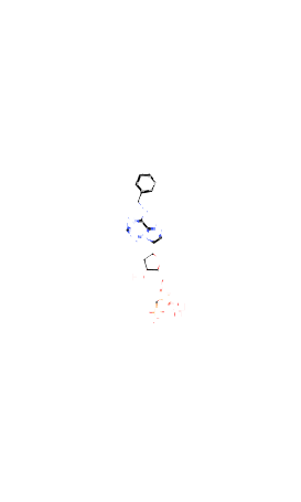 O=P(O)(O)CP(=O)(O)OC[C@H]1O[C@@H](c2cnc3c(NCc4ccccc4)ncnn23)[C@@H](F)[C@@H]1O